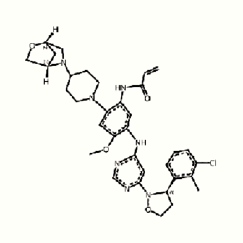 C=CC(=O)Nc1cc(Nc2cc(N3OCC[C@@H]3c3cccc(Cl)c3C)ncn2)c(OC)cc1N1CCC(N2C[C@@H]3C[C@H]2CO3)CC1